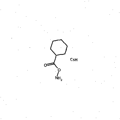 NOC(=O)C1CCCCC1.[CsH]